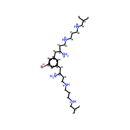 CC(C)CNCCCNCCC(N)Cc1cc(Br)cc(CC(N)CCNCCCNCC(C)C)c1